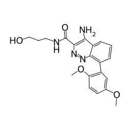 COc1ccc(OC)c(-c2cccc3c(N)c(C(=O)NCCCO)nnc23)c1